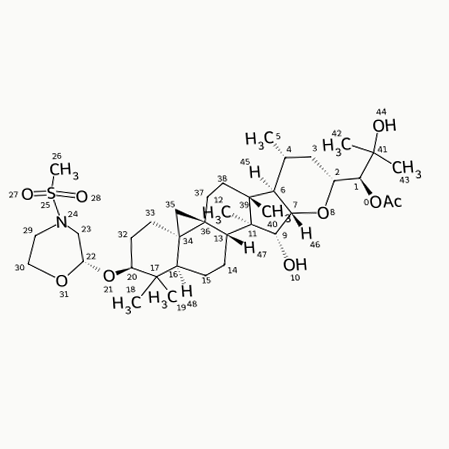 CC(=O)O[C@@H]([C@H]1C[C@@H](C)[C@H]2[C@H](O1)[C@H](O)[C@@]1(C)[C@@H]3CC[C@H]4C(C)(C)[C@@H](O[C@H]5CN(S(C)(=O)=O)CCO5)CC[C@@]45C[C@@]35CC[C@]21C)C(C)(C)O